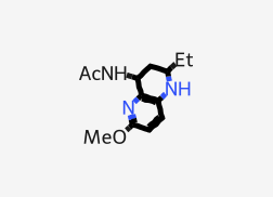 CCC1CC(NC(C)=O)c2nc(OC)ccc2N1